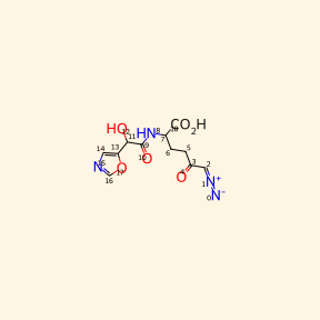 [N-]=[N+]=CC(=O)CCC(NC(=O)C(O)c1cnco1)C(=O)O